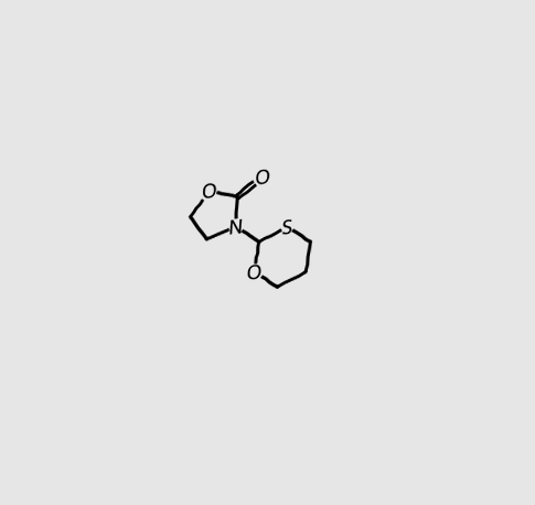 O=C1OCCN1C1OCCCS1